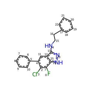 Fc1c(Cl)c(-c2ccccc2)cc2c(NCCc3ccccc3)n[nH]c12